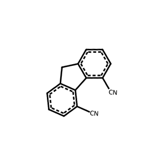 N#Cc1cccc2c1-c1c(C#N)cccc1C2